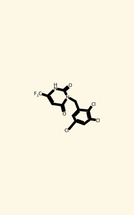 O=c1cc(C(F)(F)F)[nH]c(=O)n1Cc1cc(Cl)cc(Cl)c1Cl